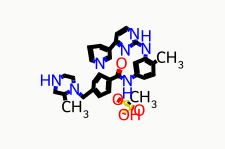 CS(=O)(=O)O.Cc1ccc(NC(=O)c2ccc(CN3CCNCC3C)cc2)cc1Nc1nccc(-c2cccnc2)n1